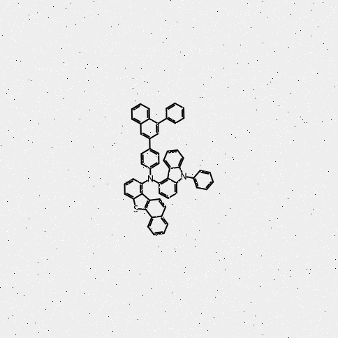 c1ccc(-c2cc(-c3ccc(N(c4cccc5sc6c7ccccc7ccc6c45)c4cccc5c4c4ccccc4n5-c4ccccc4)cc3)cc3ccccc23)cc1